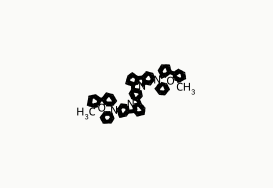 Cc1cccc2c1oc1c(N(c3ccccc3)c3ccc4c5cccc6c7cc8c(cc7n(c4c3)c56)c3cccc4c5ccc(N(c6ccccc6)c6cccc7c6oc6c(C)cccc67)cc5n8c43)cccc12